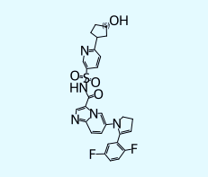 O=C(NS(=O)(=O)c1ccc(C2CC[C@H](O)C2)nc1)c1cnc2ccc(N3CCC=C3c3cc(F)ccc3F)cn12